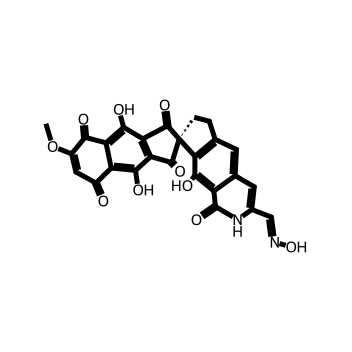 COC1=CC(=O)c2c(O)c3c(c(O)c2C1=O)C(=O)[C@]1(CCc2cc4cc(/C=N/O)[nH]c(=O)c4c(O)c21)C3=O